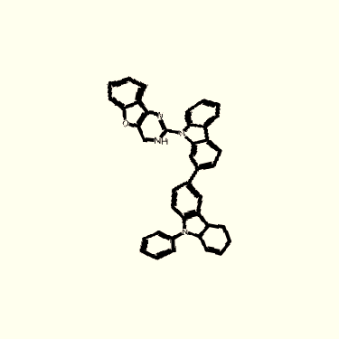 C1=CC2C(CC1)c1cc(-c3ccc4c5ccccc5n(C5=Nc6c(oc7ccccc67)CN5)c4c3)ccc1N2c1ccccc1